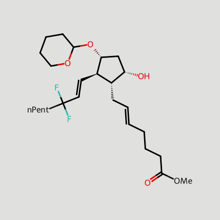 CCCCCC(F)(F)/C=C/[C@@H]1[C@@H](C/C=C/CCCC(=O)OC)[C@@H](O)C[C@H]1OC1CCCCO1